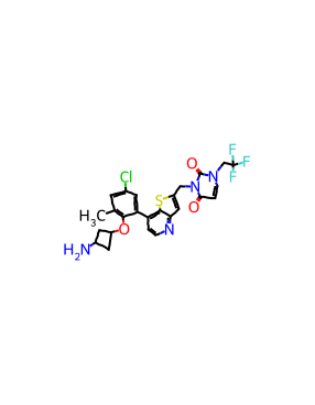 Cc1cc(Cl)cc(-c2ccnc3cc(Cn4c(=O)ccn(CC(F)(F)F)c4=O)sc23)c1OC1CC(N)C1